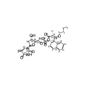 CCCCON(c1cccc2ccccc12)[C@@H](C)C(=O)OP(=O)(O)OC[C@H]1O[C@@H](n2cc(F)c(=O)[nH]c2=O)C[C@@H]1O